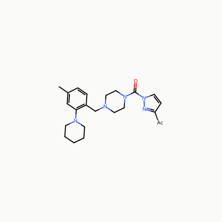 CC(=O)c1ccn(C(=O)N2CCN(Cc3ccc(C)cc3N3CCCCC3)CC2)n1